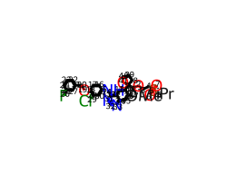 CCC(OCCS(=O)(=O)C(C)C)C1(c2cc3c(Nc4ccc(OCc5cccc(F)c5)c(Cl)c4)ncnc3cc2OC)CC=CO1